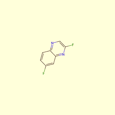 Fc1ccc2ncc(F)nc2c1